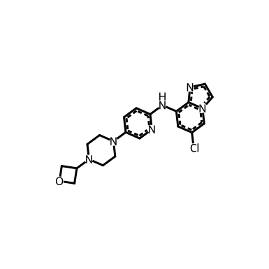 Clc1cc(Nc2ccc(N3CCN(C4COC4)CC3)cn2)c2nccn2c1